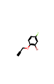 C#CCOc1c[c]c(F)cc1Br